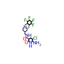 Nc1[nH]c(=O)c(C(=O)NCC2CCN(Cc3c(F)c(F)c(F)c(F)c3F)CC2)cc1Cl